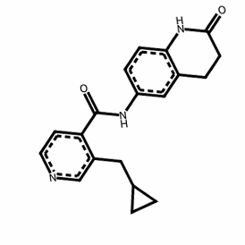 O=C1CCc2cc(NC(=O)c3ccncc3CC3CC3)ccc2N1